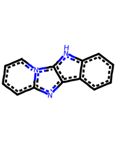 c1ccc2c(c1)[nH]c1c2nc2ccccn21